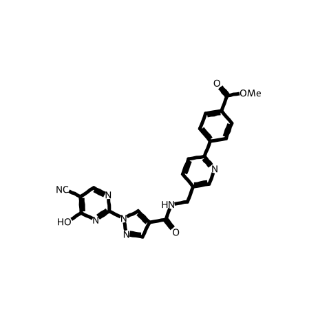 COC(=O)c1ccc(-c2ccc(CNC(=O)c3cnn(-c4ncc(C#N)c(O)n4)c3)cn2)cc1